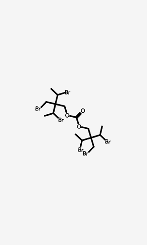 CC(Br)C(CBr)(COC(=O)OCC(CBr)(C(C)Br)C(C)Br)C(C)Br